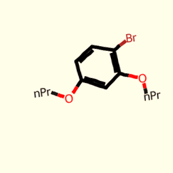 CCCOc1ccc(Br)c(OCCC)c1